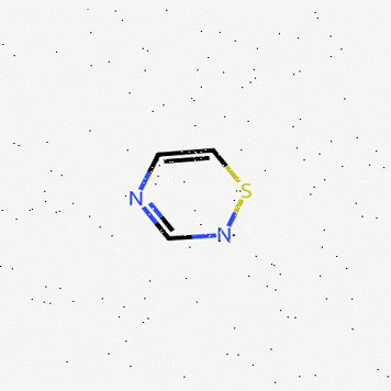 C1=CS[N]C=N1